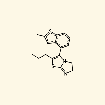 CCCC1=C(c2cccc3sc(C)cc23)N2CCN=C2S1